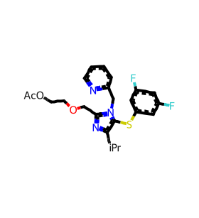 CC(=O)OCCOCc1nc(C(C)C)c(Sc2cc(F)cc(F)c2)n1Cc1ccccn1